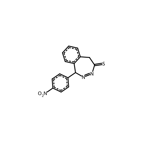 O=[N+]([O-])c1ccc(C2N=NC(=S)Cc3ccccc32)cc1